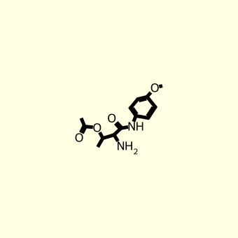 COc1ccc(NC(=O)C(N)C(C)OC(C)=O)cc1